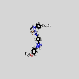 CCOC(=O)c1ccc(N2CCCS/C2=N\N=C\c2ccc(-c3ncn(-c4ccc(OC(F)(F)F)cc4)n3)cc2)cc1